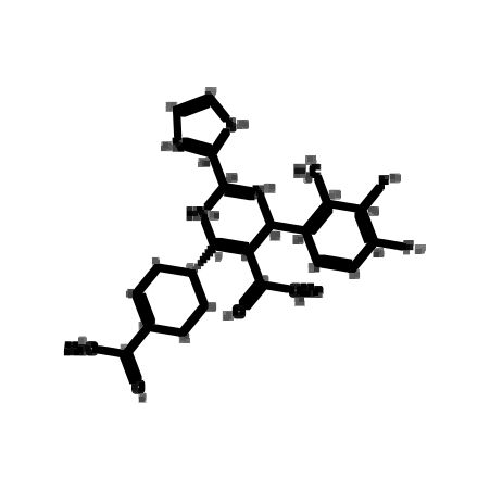 COC(=O)C1=CC[C@H](C2=C(C(=O)OC)C(c3ccc(F)c(F)c3C)N=C(c3nccs3)N2)CC1